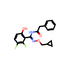 O=C(Cc1ccccc1)N/C(=N\OCC1CC1)c1c(O)ccc(F)c1F